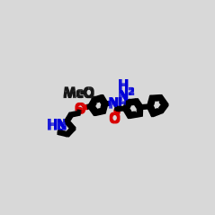 COc1cc(NC(=O)c2ccc(-c3ccccc3)cc2N)ccc1OCCC1CCCN1